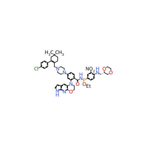 CCOP(NC(=O)c1ccc(N2CCN(CC3=C(c4ccc(Cl)cc4)CC(C)(C)CC3)CC2)cc1N1CCOc2nc3[nH]ccc3cc21)c1ccc(NC[C@H]2COCCO2)c([N+](=O)[O-])c1